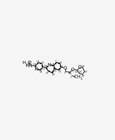 CC[C@H](COc1ccc2nc(-c3ccc(NC)nc3)ccc2c1)OC1CCCCO1